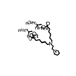 CCCCCCCCCCC(CCCCCC)COC(=O)CCCCCN(CCCCCC(=O)OCC(CCCCCC)CCCCCCCC)CCN1CCCC1